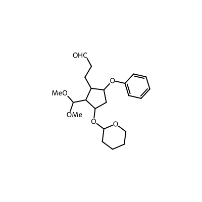 COC(OC)C1C(OC2CCCCO2)CC(Oc2ccccc2)C1CCC=O